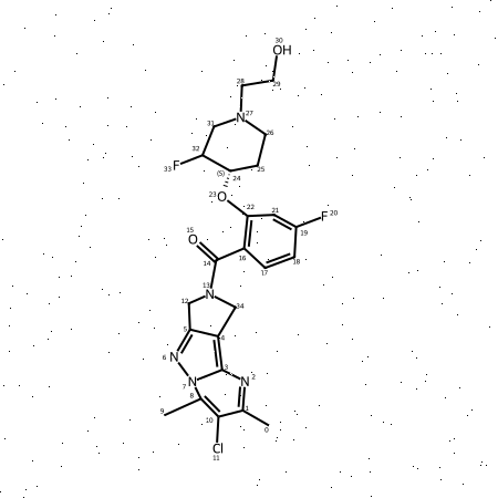 Cc1nc2c3c(nn2c(C)c1Cl)CN(C(=O)c1ccc(F)cc1O[C@H]1CCN(CCO)CC1F)C3